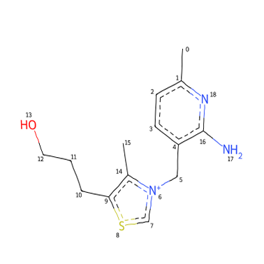 Cc1ccc(C[n+]2csc(CCCO)c2C)c(N)n1